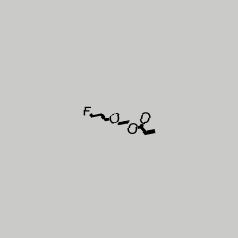 C=CC(=O)OCCOCCCF